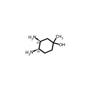 CC1(O)CC[C@@H](N)[C@@H](N)C1